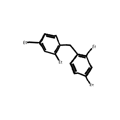 CCc1ccc(Cc2ccc(CC)cc2CC)c(CC)c1